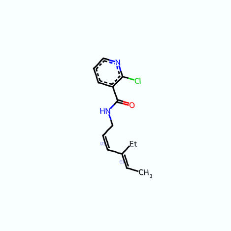 C/C=C(/C=C\CNC(=O)c1cccnc1Cl)CC